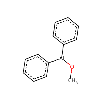 C[O][Al]([c]1ccccc1)[c]1ccccc1